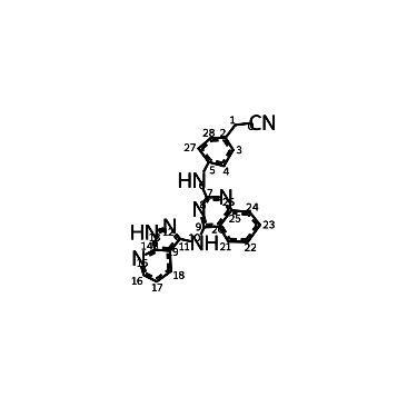 N#CCc1ccc(Nc2nc(Nc3n[nH]c4ncccc34)c3ccccc3n2)cc1